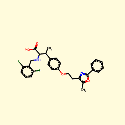 Cc1oc(-c2ccccc2)nc1CCOc1ccc(C(C)C(NCc2c(F)cccc2F)C(=O)O)cc1